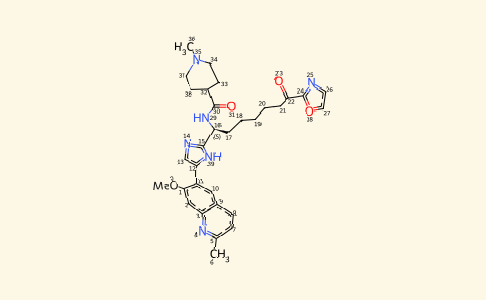 COc1cc2nc(C)ccc2cc1-c1cnc([C@H](CCCCCC(=O)c2ncco2)NC(=O)C2CCN(C)CC2)[nH]1